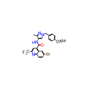 COc1ccc(Cn2cc(NC(=O)c3cc(C(F)(F)F)nc4ccc(Br)cc34)c(C)n2)cc1